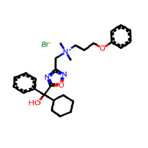 C[N+](C)(CCCOc1ccccc1)Cc1noc(C(O)(c2ccccc2)C2CCCCC2)n1.[Br-]